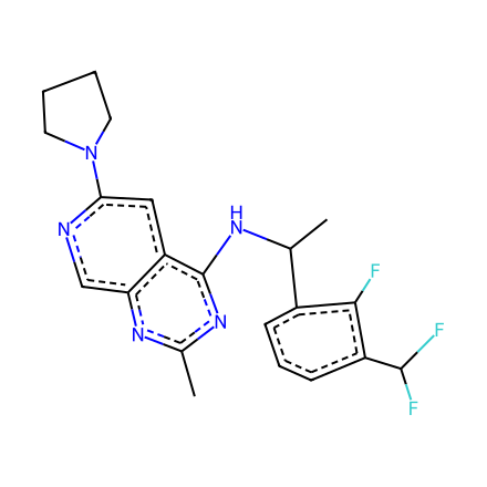 Cc1nc(NC(C)c2cccc(C(F)F)c2F)c2cc(N3CCCC3)ncc2n1